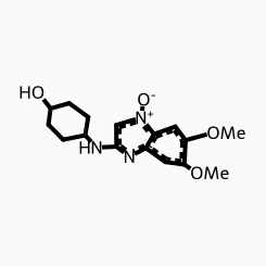 COc1cc2nc(NC3CCC(O)CC3)c[n+]([O-])c2cc1OC